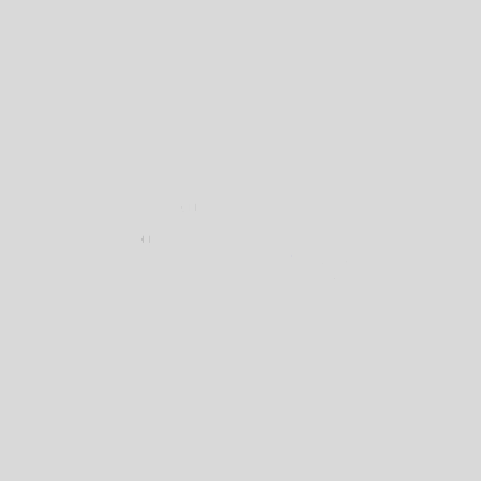 CC(C=O)Cc1cccc(/C=C/C2CC2)c1